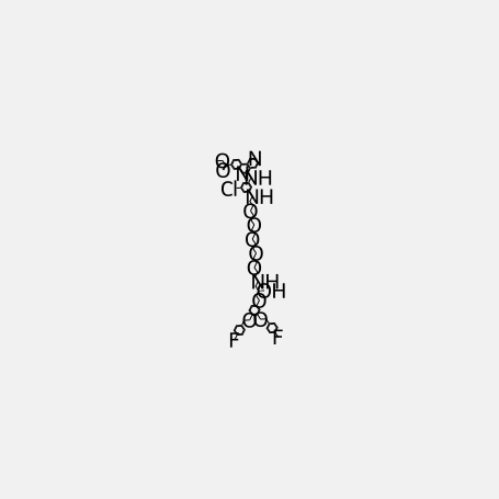 COC(=O)c1ccc2c(c1)nc(Nc1cc(Cl)cc(NCCOCCOCCOCCOCCOCCNC[C@@H](O)COc3ccc(OCc4ccc(F)cc4)c(OCc4ccc(F)cc4)c3)c1)c1ccncc12